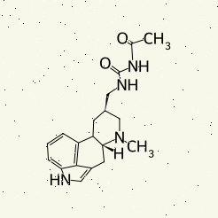 CC(=O)NC(=O)NC[C@@H]1CC2c3cccc4[nH]cc(c34)C[C@H]2N(C)C1